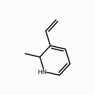 C=CC1=CC=CNC1C